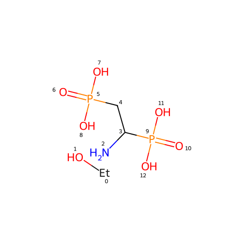 CCO.NC(CP(=O)(O)O)P(=O)(O)O